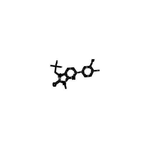 Cc1ccc(-c2ccc3c(n2)n(C)c(=O)n3CC(C)(C)C)cc1F